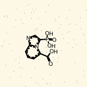 O=C(O)c1cccc2ncc(P(=O)(O)O)n12